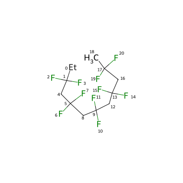 CCC(F)(F)CC(F)(F)CC(F)(F)CC(F)(F)CC(C)(F)F